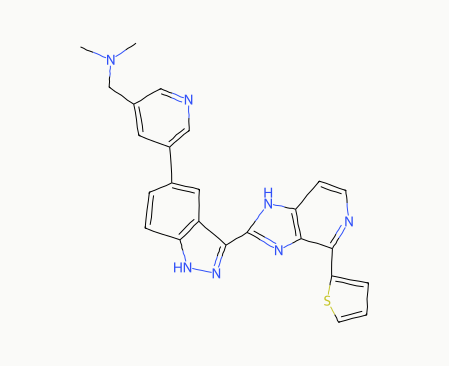 CN(C)Cc1cncc(-c2ccc3[nH]nc(-c4nc5c(-c6cccs6)nccc5[nH]4)c3c2)c1